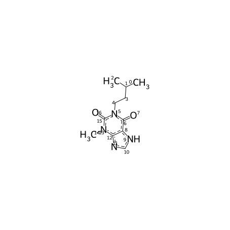 CC(C)CCn1c(=O)c2[nH]cnc2n(C)c1=O